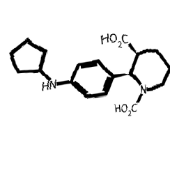 O=C(O)[C@H]1CCCN(C(=O)O)[C@H]1c1ccc(NC2CCCC2)cc1